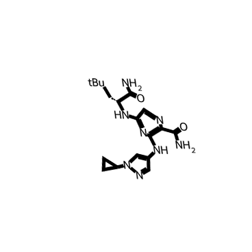 CC(C)(C)C[C@@H](Nc1cnc(C(N)=O)c(Nc2cnn(C3CC3)c2)n1)C(N)=O